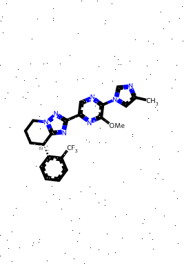 COc1nc(-c2nc3n(n2)CCC[C@H]3c2ccccc2C(F)(F)F)cnc1-n1cnc(C)c1